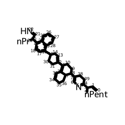 C=CC(CCCCC)C1=NC=C(C2CCC(C3=CCC(c4ccc(C(C=N)CCC)c5ccccc45)CC3)=C3C=CCCC32)CC1